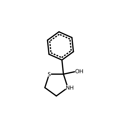 OC1(c2ccccc2)NCCS1